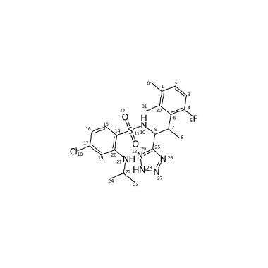 Cc1ccc(F)c(C(C)C(NS(=O)(=O)c2ccc(Cl)cc2NC(C)C)c2nn[nH]n2)c1C